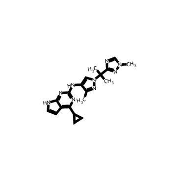 Cc1nn(C(C)(C)c2ncn(C)n2)cc1Nc1nc(C2CC2)c2cc[nH]c2n1